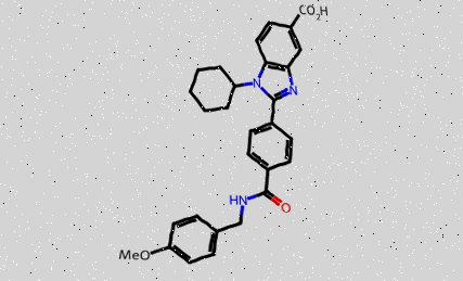 COc1ccc(CNC(=O)c2ccc(-c3nc4cc(C(=O)O)ccc4n3C3CCCCC3)cc2)cc1